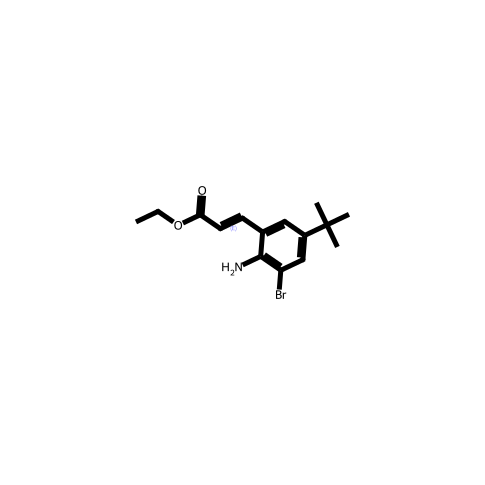 CCOC(=O)/C=C/c1cc(C(C)(C)C)cc(Br)c1N